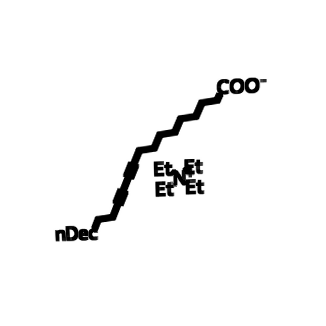 CCCCCCCCCCCCC#CC#CCCCCCCCCC(=O)[O-].CC[N+](CC)(CC)CC